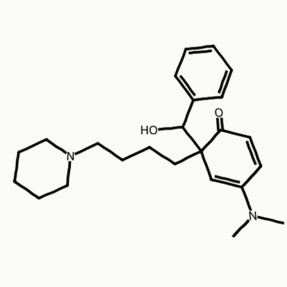 CN(C)C1=CC(CCCCN2CCCCC2)(C(O)c2ccccc2)C(=O)C=C1